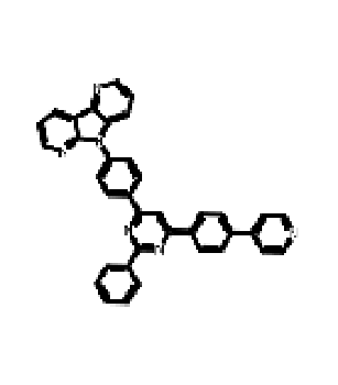 c1ccc(-c2nc(-c3ccc(-c4ccncc4)cc3)cc(-c3ccc(-n4c5cccnc5c5cccnc54)cc3)n2)cc1